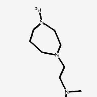 [2H]N1CCCN(CCN(C)C)CC1